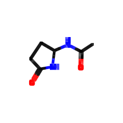 CC(=O)NC1CCC(=O)N1